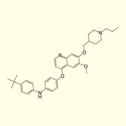 CCCN1CCC(COc2cc3nccc(Oc4ccc(Nc5ccc(C(C)(C)C)cc5)cc4)c3cc2OC)CC1